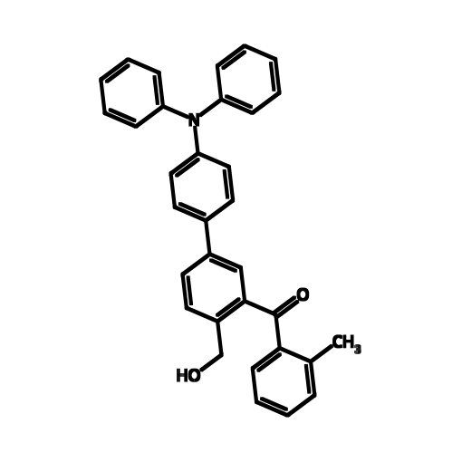 Cc1ccccc1C(=O)c1cc(-c2ccc(N(c3ccccc3)c3ccccc3)cc2)ccc1CO